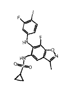 Cc1noc2c(F)c(Nc3ccc(I)c(F)c3)c(NS(=O)(=O)C3CC3)cc12